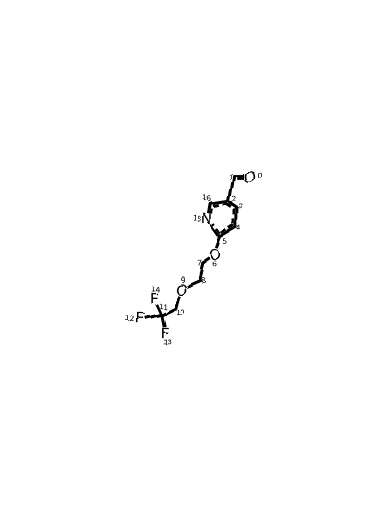 O=Cc1ccc(OCCOCC(F)(F)F)nc1